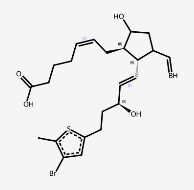 B=CC1CC(O)[C@H](C/C=C\CCCC(=O)O)[C@H]1/C=C/[C@@H](O)CCc1cc(Br)c(C)s1